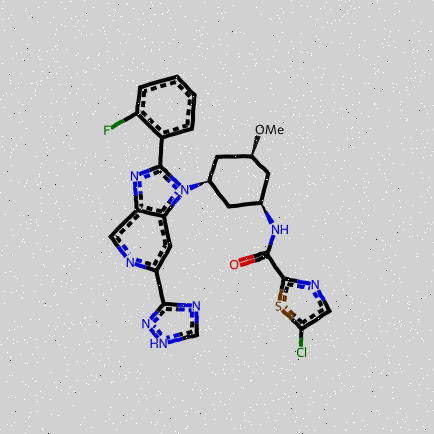 CO[C@H]1C[C@@H](NC(=O)c2ncc(Cl)s2)C[C@@H](n2c(-c3ccccc3F)nc3cnc(-c4nc[nH]n4)cc32)C1